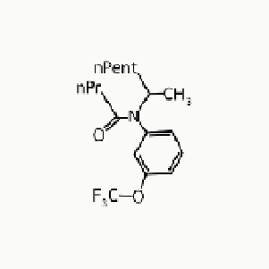 CCCCCC(C)N(C(=O)CCC)c1cccc(OC(F)(F)F)c1